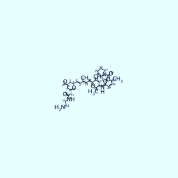 CC(/C=C/[C@@H]1C[C@]2(CO2)C[C@@H](CC(=O)NCCN)O1)=C\CC1O[C@H](C)[C@H](NC(=O)/C=C\[C@H](C)OC(=O)N2CCCCC2)C[C@@H]1C